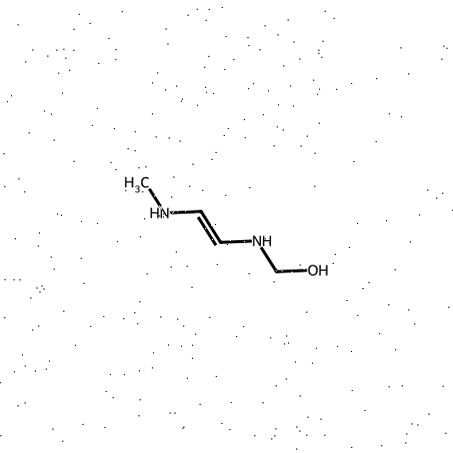 CN/C=C/NCO